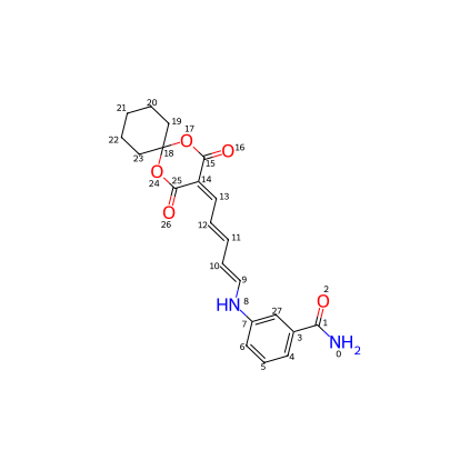 NC(=O)c1cccc(N/C=C/C=C/C=C2C(=O)OC3(CCCCC3)OC2=O)c1